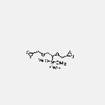 CO[Si](OC)(OC)C(COCC1CO1)OCC1CO1